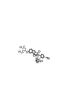 CCC(C)Oc1ccc2cc(C(=O)Nc3ccc(C#N)cc3-c3nnn[nH]3)n(C)c2c1